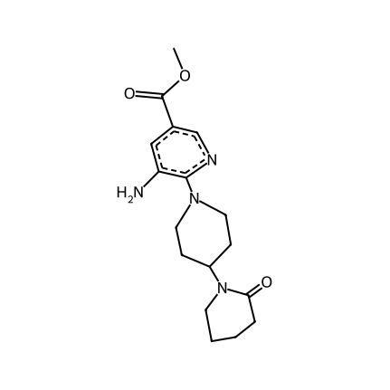 COC(=O)c1cnc(N2CCC(N3CCCCC3=O)CC2)c(N)c1